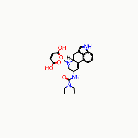 CCN(CC)C(=O)N[C@H]1C=C2c3cccc4[nH]cc(c34)C[C@H]2N(C)C1.O=C(O)/C=C\C(=O)O